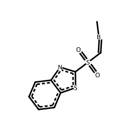 CB=CS(=O)(=O)c1nc2ccccc2s1